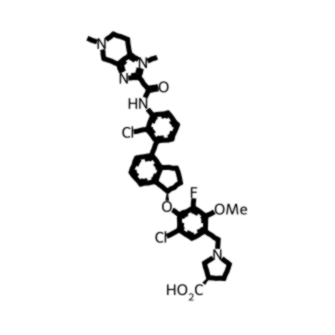 COc1c(CN2CC[C@@H](C(=O)O)C2)cc(Cl)c(O[C@@H]2CCc3c(-c4cccc(NC(=O)c5nc6c(n5C)CCN(C)C6)c4Cl)cccc32)c1F